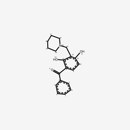 O=C(c1ccccc1)c1ccc(O)c(CN2CCCCC2)c1O